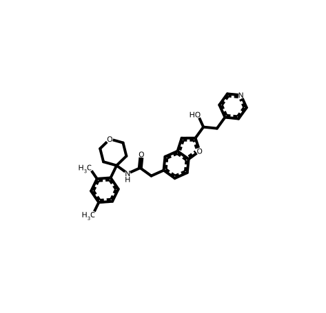 Cc1ccc(C2(NC(=O)Cc3ccc4oc(C(O)Cc5ccncc5)cc4c3)CCOCC2)c(C)c1